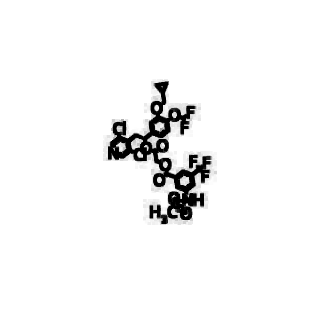 CS(=O)(=O)Nc1cc(C(=O)OCC(=O)O[C@@H](Cc2c(Cl)cncc2Cl)c2ccc(OC(F)F)c(OCC3CC3)c2)cc(C(F)(F)F)c1